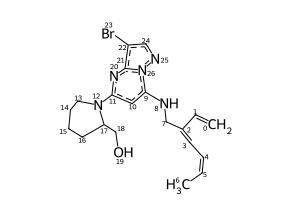 C=C/C(=C\C=C/C)CNc1cc(N2CCCCC2CO)nc2c(Br)cnn12